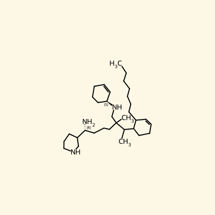 CCCCCCCC1C=CCCC1C(C)C(C)(CCC[C@@H](N)C1CCCNC1)CN[C@@H]1C=CCCC1